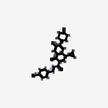 O=C(/C=C/c1ccc(Br)cc1)c1cn(C2CC2)c2cc(N3CCNCC3)c(F)cc2c1=O